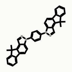 CC1(C)c2ccccc2-c2ccc3c(cnn3-c3ccc(-n4ncc5c6c(ccc54)-c4ccccc4C6(C)C)cc3)c21